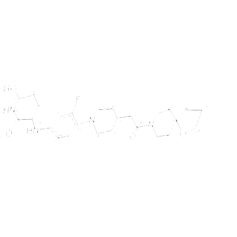 O=C1NC(O)CCC1Nc1ccc(N2CCC(CC(=O)N3CCC4(CCCO4)CC3)CC2)c(F)c1